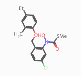 CCc1ccc(OCc2ccc(Cl)cc2N(O)C(=O)SC)c(C)c1